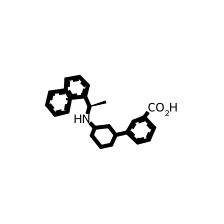 C[C@@H](NC1CCCC(c2cccc(C(=O)O)c2)C1)c1cccc2ccccc12